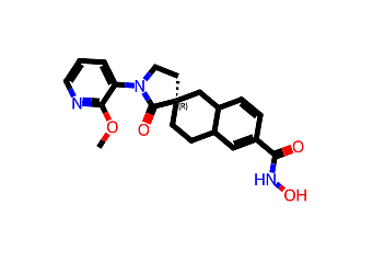 COc1ncccc1N1CC[C@]2(CCC3C=C(C(=O)NO)C=CC3C2)C1=O